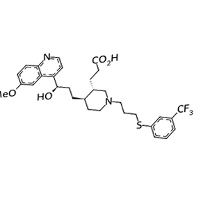 COc1ccc2nccc([C@H](O)CC[C@@H]3CCN(CCCSc4cccc(C(F)(F)F)c4)C[C@H]3CCC(=O)O)c2c1